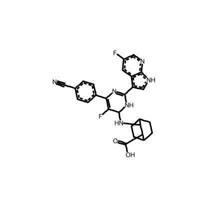 N#Cc1ccc(C2=C(F)C(NC3C4CCC(CC4)C3C(=O)O)NC(c3c[nH]c4ncc(F)cc34)=N2)cc1